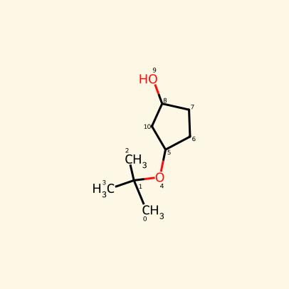 CC(C)(C)OC1CCC(O)C1